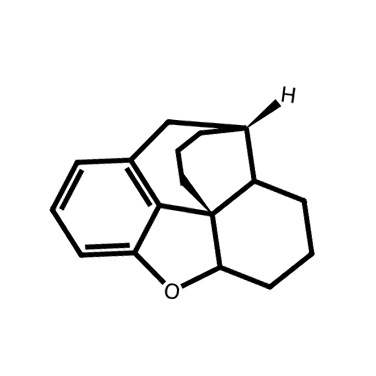 c1cc2c3c(c1)OC1CCCC4[C@H](CCC[C@]314)C2